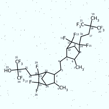 CC1C(CCC2C(C)C3CC2C(F)(F)C3(F)CCC(C)(C(F)(F)F)C(F)(F)F)C2CC1C(F)(F)C2(F)CCC(O)(C(F)(F)F)C(F)(F)F